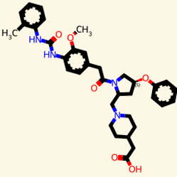 COc1cc(CC(=O)N2C[C@@H](Oc3ccccc3)CC2CN2CCC(CC(=O)O)CC2)ccc1NC(=O)Nc1ccccc1C